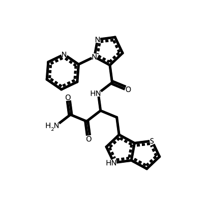 NC(=O)C(=O)C(Cc1c[nH]c2ccsc12)NC(=O)c1ccnn1-c1ccccn1